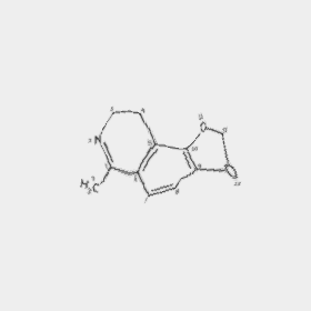 CC1=NCCc2c1ccc1c2OCO1